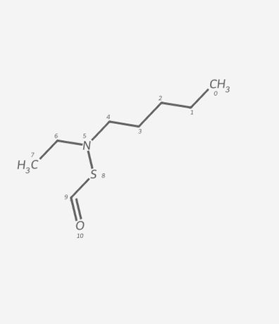 CCCCCN(CC)S[C]=O